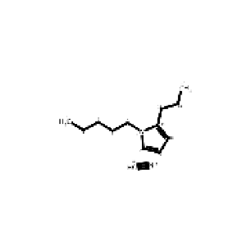 C#N.CCCCCn1cccc1CCC